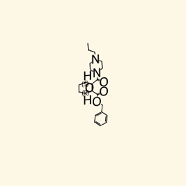 CCCN1CCN(C(=O)C2C(C(=O)OCc3ccccc3)[C@H]3CC[C@@H]2O3)CC1